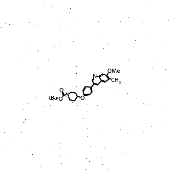 COc1cc2ncc(-c3ccc(OC4CCN(C(=O)OC(C)(C)C)CC4)cc3)cc2cc1C